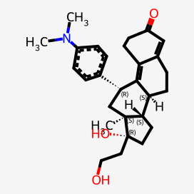 CN(C)c1ccc([C@H]2C[C@@]3(C)[C@@H](CC[C@@]3(O)CCO)[C@@H]3CCC4=CC(=O)CCC4=C32)cc1